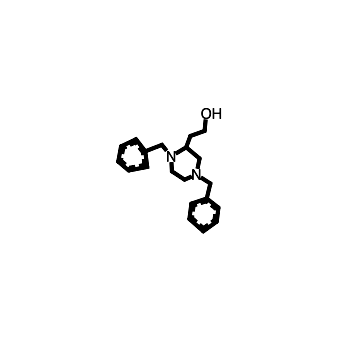 OCCC1CN(Cc2ccccc2)CCN1Cc1ccccc1